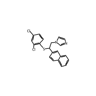 Clc1ccc(SC(Cn2ccnc2)c2ccc3ccccc3c2)c(Cl)c1